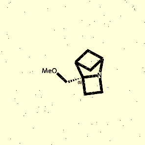 COC[C@@]12CCN1C1CC2C1